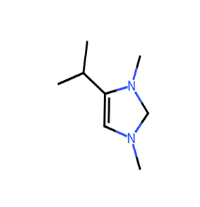 CC(C)C1=CN(C)CN1C